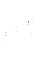 CCC(C)CCCCC/C(=N\OCc1ccc(OCc2nc(-c3cccs3)oc2C)cc1)c1ccccc1